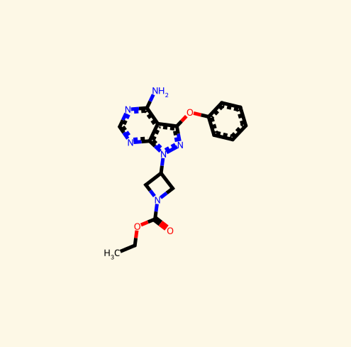 CCOC(=O)N1CC(n2nc(Oc3ccccc3)c3c(N)ncnc32)C1